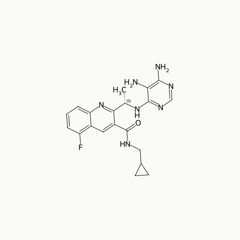 C[C@H](Nc1ncnc(N)c1N)c1nc2cccc(F)c2cc1C(=O)NCC1CC1